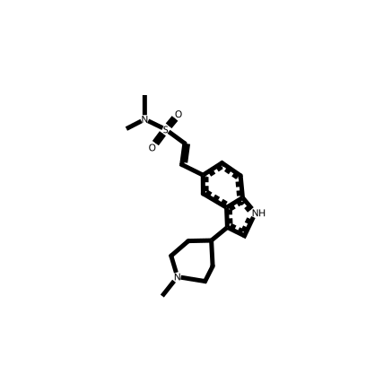 CN1CCC(c2c[nH]c3ccc(C=CS(=O)(=O)N(C)C)cc23)CC1